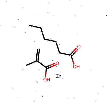 C=C(C)C(=O)O.CCCCCC(=O)O.[Zn]